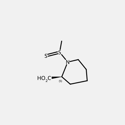 CS(=S)N1CCCC[C@H]1C(=O)O